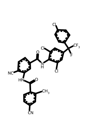 Cc1cc(C#N)ccc1C(=O)Nc1cc(C(=O)Nc2c(Cl)cc(C(F)(c3ccc(Cl)cc3)C(F)(F)F)cc2Cl)ccc1C#N